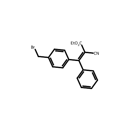 CCOC(=O)C(C#N)=C(c1ccccc1)c1ccc(CBr)cc1